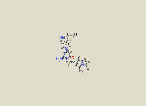 C=C(/C(=C\C=C\C)[C@@H](Oc1cc(N2CCC3(CC2)CN[C@H](C(=O)O)C3)nc(N)n1)C(F)(F)F)n1ccc(C)n1